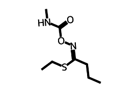 CCCC(=NOC(=O)NC)SCC